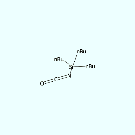 CCCC[Si](CCCC)(CCCC)N=C=O